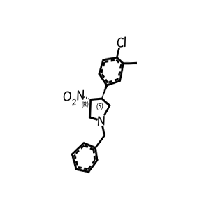 Cc1cc([C@H]2CN(Cc3ccccc3)C[C@@H]2[N+](=O)[O-])ccc1Cl